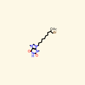 CC(=O)OC(CBr)CCCCCCCCN1CN(C)c2c1n(C)c(=O)[nH]c2=O